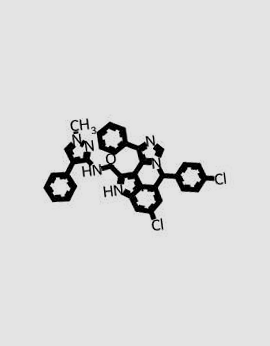 Cn1cc(-c2ccccc2)c(NC(=O)c2[nH]c3cc(Cl)cc4c3c2-c2c(-c3ccccc3)ncn2C4c2ccc(Cl)cc2)n1